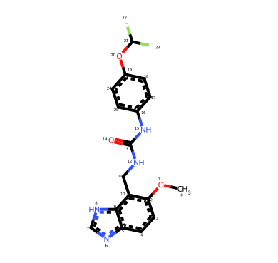 COc1ccc2nc[nH]c2c1CNC(=O)Nc1ccc(OC(F)F)cc1